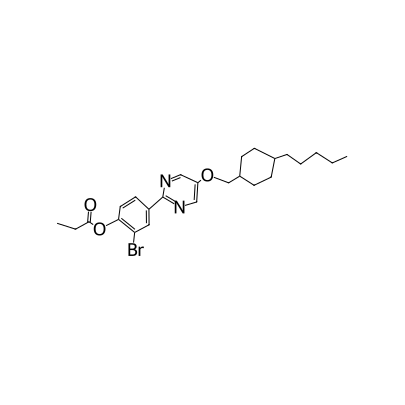 CCCCCC1CCC(COc2cnc(-c3ccc(OC(=O)CC)c(Br)c3)nc2)CC1